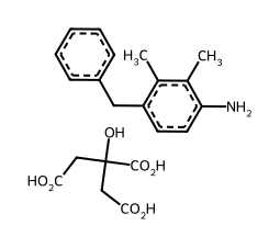 Cc1c(N)ccc(Cc2ccccc2)c1C.O=C(O)CC(O)(CC(=O)O)C(=O)O